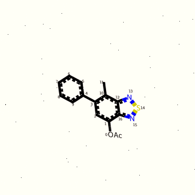 CC(=O)Oc1cc(-c2ccccc2)c(C)c2nsnc12